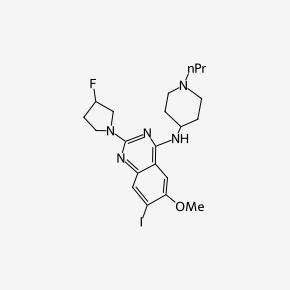 CCCN1CCC(Nc2nc(N3CCC(F)C3)nc3cc(I)c(OC)cc23)CC1